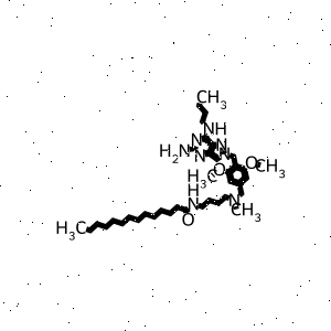 CCCCCCCCCCCCCC(=O)NCCCCN(C)Cc1cc(OC)c(Cn2cc3nc(N)nc(NCCCC)c3n2)c(OC)c1